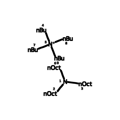 CCCCCCCCN(CCCCCCCC)CCCCCCCC.CCCC[N+](CCCC)(CCCC)CCCC